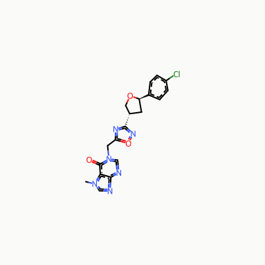 Cn1cnc2ncn(Cc3nc([C@@H]4CO[C@@H](c5ccc(Cl)cc5)C4)no3)c(=O)c21